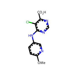 COc1ccc(Nc2ncnc(C(=O)O)c2Cl)cn1